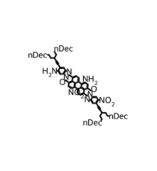 CCCCCCCCCCCCC(C#Cc1cc2nc3c4ccc5c6c(N)cc7c(=O)n8c9cc([N+](=O)[O-])c(C#CC(CCCCCCCCCCCC)CCCCCCCCCCCC)cc9nc8c8ccc(c9c([N+](=O)[O-])cc(c(=O)n3c2cc1N)c4c59)c6c78)CCCCCCCCCCCC